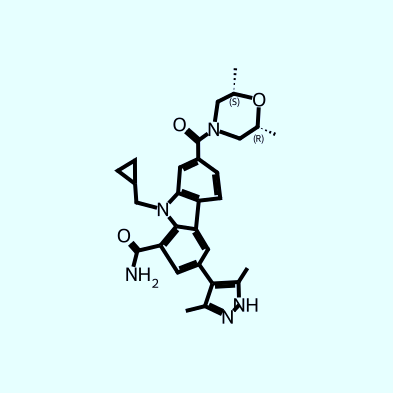 Cc1n[nH]c(C)c1-c1cc(C(N)=O)c2c(c1)c1ccc(C(=O)N3C[C@@H](C)O[C@@H](C)C3)cc1n2CC1CC1